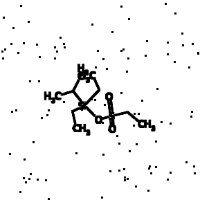 CC[Si](CC)(OS(=O)(=O)CC)C(C)C